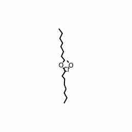 CCCCCCCCOCCCCCCCC.COCl